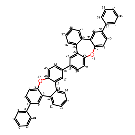 c1ccc(-c2ccc3c(c2)-c2ccccc2-c2cc(-c4ccc5c(c4)-c4ccccc4-c4cc(-c6ccccc6)ccc4O5)ccc2O3)cc1